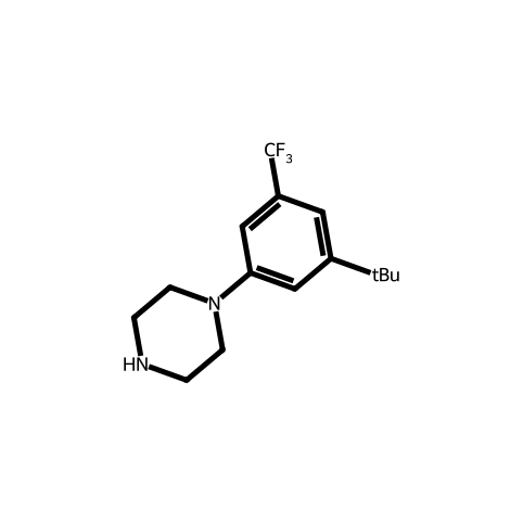 CC(C)(C)c1cc(N2CCNCC2)cc(C(F)(F)F)c1